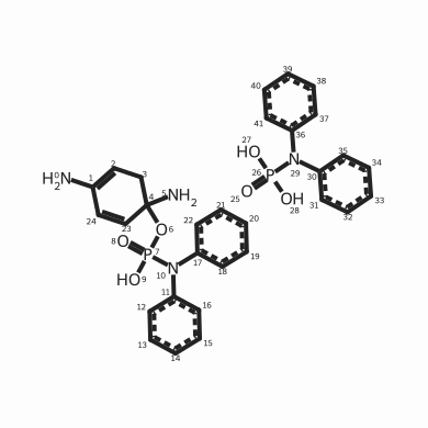 NC1=CCC(N)(OP(=O)(O)N(c2ccccc2)c2ccccc2)C=C1.O=P(O)(O)N(c1ccccc1)c1ccccc1